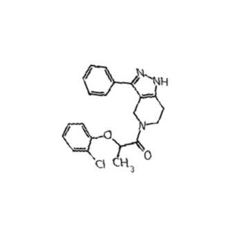 CC(Oc1ccccc1Cl)C(=O)N1CCc2[nH]nc(-c3ccccc3)c2C1